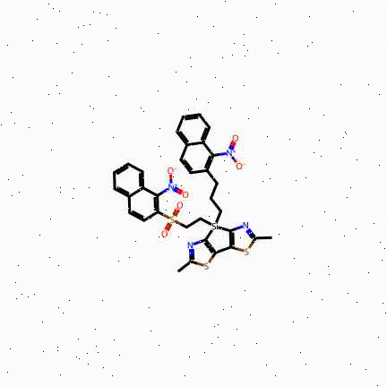 Cc1nc2c(s1)-c1sc(C)nc1[Si]2(CCCc1ccc2ccccc2c1[N+](=O)[O-])CCS(=O)(=O)c1ccc2ccccc2c1[N+](=O)[O-]